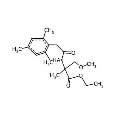 CCOC(=O)C(C)(COC)[AsH]C(=O)Cc1c(C)cc(C)cc1C